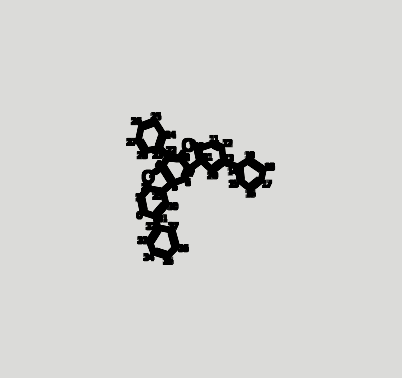 C1=CC2Oc3c(cc4c(oc5ccc(-c6ccccc6)cc54)c3-c3ccccc3)C2C=C1c1ccccc1